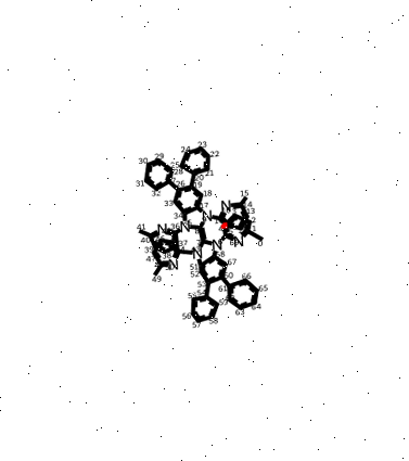 Cc1cccc(N2C(=C3N(c4cccc(C)n4)c4cc(-c5ccccc5)c(-c5ccccc5)cc4N3c3cccc(C)n3)N(c3cccc(C)n3)c3cc(-c4ccccc4)c(-c4ccccc4)cc32)n1